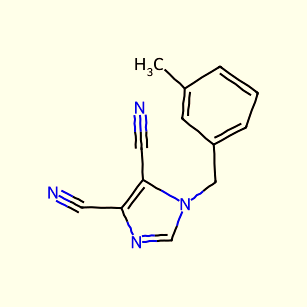 Cc1cccc(Cn2cnc(C#N)c2C#N)c1